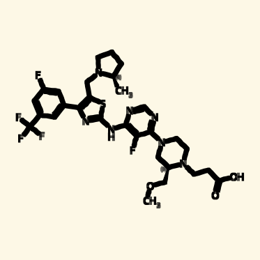 COC[C@H]1CN(c2ncnc(Nc3nc(-c4cc(F)cc(C(F)(F)F)c4)c(CN4CCC[C@H]4C)s3)c2F)CCN1CCC(=O)O